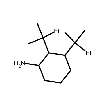 CCC(C)(C)C1CCCC(N)C1C(C)(C)CC